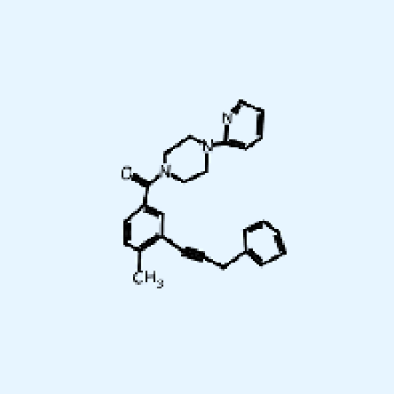 Cc1ccc(C(=O)N2CCN(c3ccccn3)CC2)cc1C#CCc1ccccc1